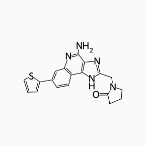 Nc1nc2cc(-c3cccs3)ccc2c2[nH]c(CN3CCCC3=O)nc12